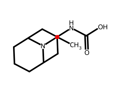 CCN1C2CCCC1CC(NC(=O)O)C2